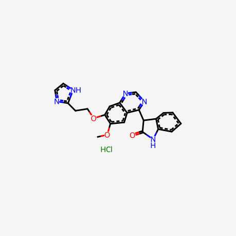 COc1cc2c(C3C(=O)Nc4ccccc43)ncnc2cc1OCCc1ncc[nH]1.Cl